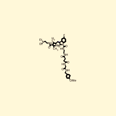 CCN(CC)CCNC(=O)c1c(C)[nH]c(/C=C2\C(=O)N(C(=O)NCCNC(=O)CCC(=O)NCC(=O)NCc3ccc(OC)cc3)c3ccc(F)cc32)c1C